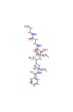 CC(CCC(C)(C)NC(=O)c1cccnc1)CC(C)(C)[C@@H](O)C(=O)NCCC(=O)NCCS